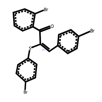 O=C(/C(=C\c1ccc(Br)cc1)Sc1ccc(Br)cc1)c1ccccc1Br